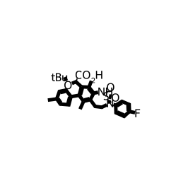 Cc1ccc(-c2c(C)c3c(c(C)c2[C@H](OC(C)(C)C)C(=O)O)NS(=O)(=O)N(c2ccc(F)cc2)CC3)cc1